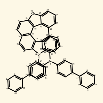 c1ccc(-c2ccc(N(c3ccc(-c4ccccc4)cc3)c3ccc(-c4cccc5oc6ccc7ccc8c(c7c6c45)-c4ccccc4[SiH]8c4ccccc4)cc3)cc2)cc1